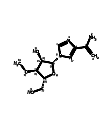 C=C(N)c1ncn([C@@H]2O[C@H](CO)[C@@H](OC)[C@H]2O)n1